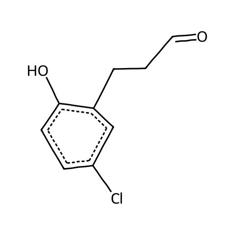 O=CCCc1cc(Cl)ccc1O